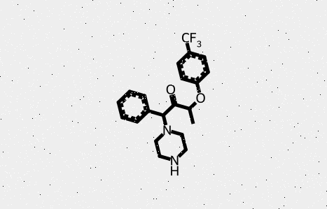 CC(Oc1ccc(C(F)(F)F)cc1)C(=O)C(c1ccccc1)N1CCNCC1